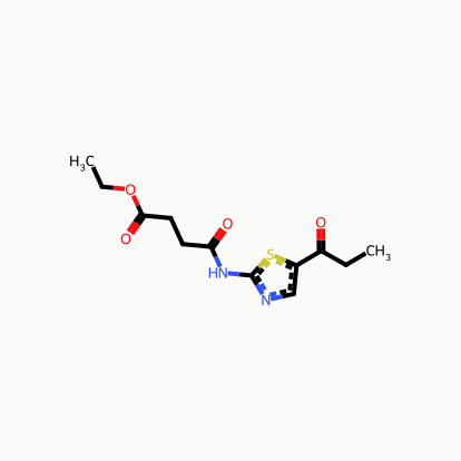 CCOC(=O)CCC(=O)Nc1ncc(C(=O)CC)s1